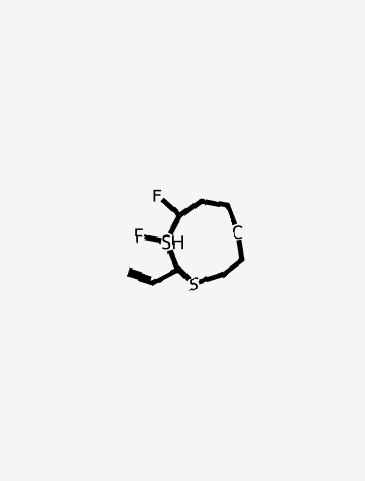 C=CC1SCCCCCC(F)[SH]1F